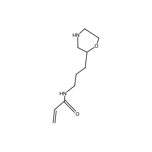 C=CC(=O)NCCCC1CNCCO1